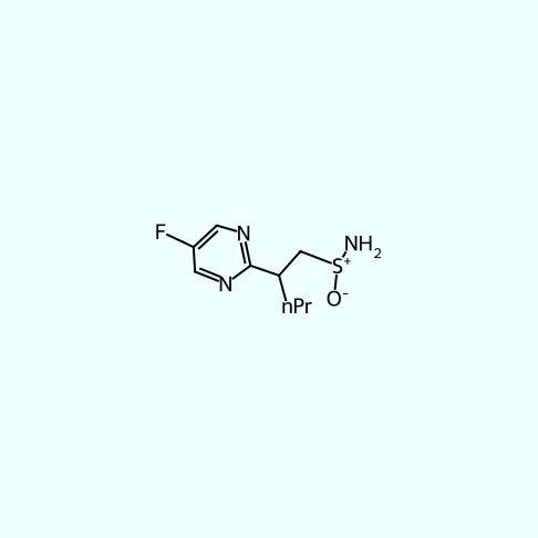 CCCC(C[S+](N)[O-])c1ncc(F)cn1